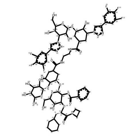 CC1CC(C(=O)NCCNC(=O)C2CC(n3cc(-c4cc(F)c(F)c(F)c4)nn3)C(O)[C@H](O[C@@H]3OC(CO)[C@H](O)C(n4cc(-c5cc(F)c(F)c(F)c5)nn4)C3O)C2)C[C@@H](O[C@@H]2OC(CO)[C@H](O)C(O[C@@H](CC3CCCCC3)C(=O)N3CCC3)C2OC(=O)c2ccccc2)C1O[C@@H]1OC(C)[C@@H](O)C(O)C1O